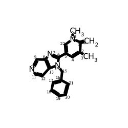 C=C1C(C)=CC(c2nc3cnccc3n2Cc2ccccc2)=CN1C